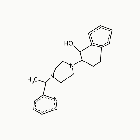 CC(c1ccccn1)N1CCN(C2CCc3ccccc3C2O)CC1